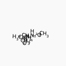 COCCNc1ccc(=O)n(C(C)(C)C)n1